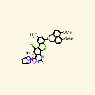 COc1ccc(CN(Cc2ccc(OC)cc2)c2cc(C)cc(-c3c(Cl)cc4c(N5CC6CCC(C5)N6C(=O)OC(C)(C)C)nc(F)nc4c3F)c2F)cc1